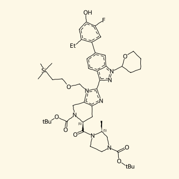 CCc1cc(O)c(F)cc1-c1ccc2c(-c3nc4c(n3COCC[Si](C)(C)C)CN(C(=O)OC(C)(C)C)[C@H](C(=O)N3CCN(C(=O)OC(C)(C)C)C[C@@H]3C)C4)nn(C3CCCCO3)c2c1